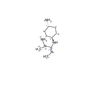 C/N=C(/N[C@H]1CC[C@H](N)CC1)N(C)N